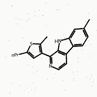 CCCc1cc(-c2nccc3c2[nH]c2cc(C)ccc23)c(C)s1